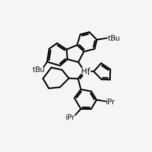 CC(C)c1cc([C](C2CCCCC2)=[Hf]([CH]2C=CC=C2)[CH]2c3cc(C(C)(C)C)ccc3-c3ccc(C(C)(C)C)cc32)cc(C(C)C)c1